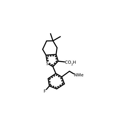 CNCc1ccc(F)cc1-c1sc2c(c1C(=O)O)CC(C)(C)CC2